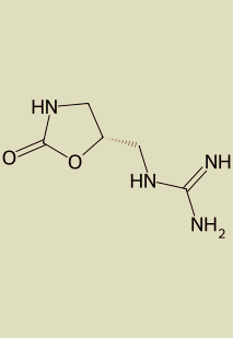 N=C(N)NC[C@H]1CNC(=O)O1